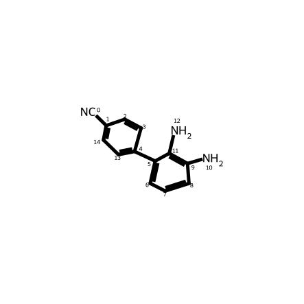 N#Cc1ccc(-c2cccc(N)c2N)cc1